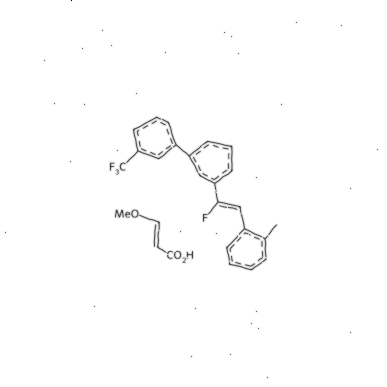 COC=CC(=O)O.Cc1ccccc1C=C(F)c1cccc(-c2cccc(C(F)(F)F)c2)c1